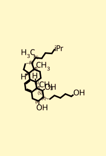 CC(C)CCC[C@@H](C)[C@H]1CC[C@H]2C3=CC=C4C[C@@H](O)[C@@H](CCCCCO)[C@H](O)[C@]4(C)[C@H]3CC[C@]12C